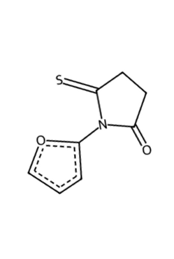 O=C1CCC(=S)N1c1ccco1